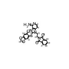 Nc1nccc2c1nc(Sc1cc3c(cc1Cl)OCO3)n2CCN1C(=O)c2ccccc2C1=O